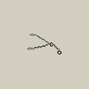 CCCCCCCCCCCCCCCCCCN(CCCCCCCCCCCCCCCCCC)c1ccc([CH]CCCOc2ccccc2)cc1